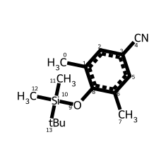 Cc1cc(C#N)cc(C)c1O[Si](C)(C)C(C)(C)C